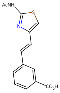 CC(=O)Nc1nc(C=Cc2cccc(C(=O)O)c2)cs1